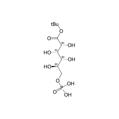 CC(C)(C)OC(=O)[C@H](O)[C@@H](O)[C@H](O)[C@H](O)COP(=O)(O)O